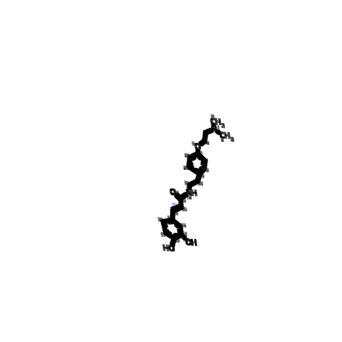 CN(C)CCOc1ccc(CCNC(=O)/C=C/c2ccc(O)c(O)c2)cc1